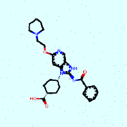 O=C(/N=c1\[nH]c2cnc(OCCN3CCCCC3)cc2n1[C@H]1CC[C@@H](C(=O)O)CC1)c1ccccc1